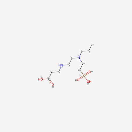 CCCN(CCNCCC(=O)O)CCS(=O)(=O)O